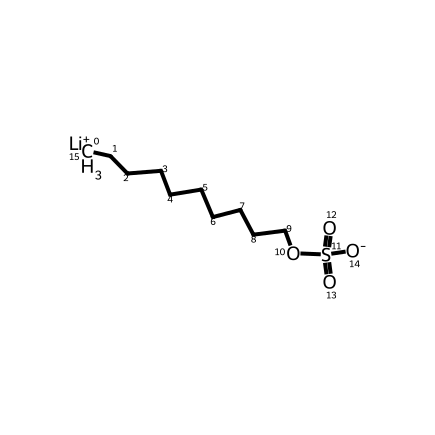 CCCCCCCCCCOS(=O)(=O)[O-].[Li+]